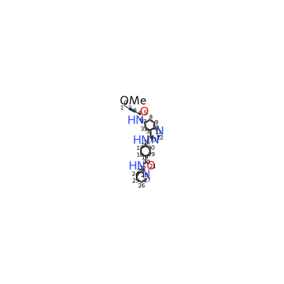 COCC#CC(=O)Nc1ccc2ncnc(Nc3ccc(C(=O)Nc4ccccn4)cc3)c2c1